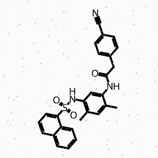 Cc1cc(C)c(NS(=O)(=O)c2cccc3ccccc23)cc1NC(=O)Cc1ccc(C#N)cc1